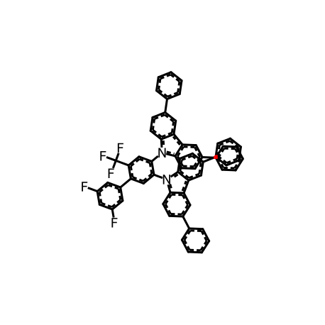 Fc1cc(F)cc(-c2cc(-n3c4ccc(-c5ccccc5)cc4c4cc(-c5ccccc5)ccc43)c(-n3c4ccc(-c5ccccc5)cc4c4cc(-c5ccccc5)ccc43)cc2C(F)(F)F)c1